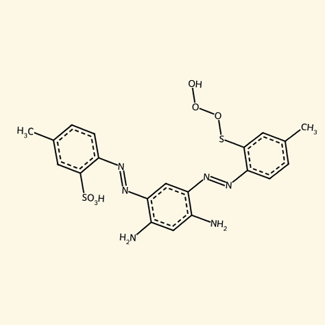 Cc1ccc(N=Nc2cc(N=Nc3ccc(C)cc3S(=O)(=O)O)c(N)cc2N)c(SOOO)c1